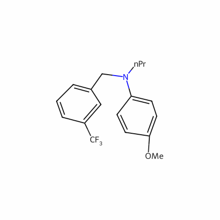 CCCN(Cc1cccc(C(F)(F)F)c1)c1ccc(OC)cc1